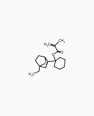 C=C(C)C(=O)OC1(C2CC3(CC)CCC2O3)CCCCC1